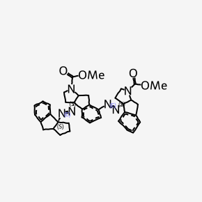 COC(=O)N1CC[C@]2(/N=N/c3cccc4c3CC3N(C(=O)OC)CC[C@]43/N=N/[C@@]34CCCC3Cc3ccccc34)c3ccccc3CC12